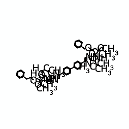 COC(C)(CCOCc1ccccc1)C(=O)N[C@H](c1nc(-c2ccc(-c3ccc(-c4c[nH]c([C@@H](NC(=O)C(C)(COCCc5ccccc5)OC)C(C)(C)C)n4)cc3)cc2)c[nH]1)C(C)(C)C